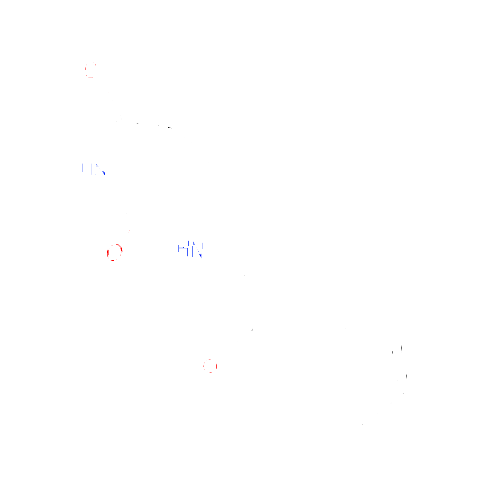 O=C(CNC12CC(C1)C(=O)NC2=O)c1ccccc1